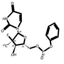 [13CH3][C@@]1(F)[C@H](O)[C@@H](CO[PH](=O)Oc2ccccc2)O[C@H]1n1ccc(=O)[nH]c1=O